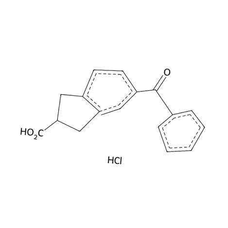 Cl.O=C(c1ccccc1)c1ccc2c(c1)CC(C(=O)O)C2